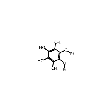 CCOc1c(C)c(O)c(O)c(C)c1OCC